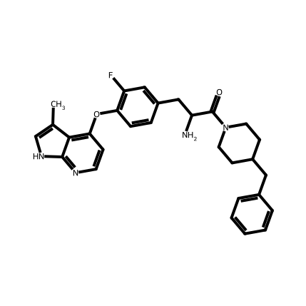 Cc1c[nH]c2nccc(Oc3ccc(CC(N)C(=O)N4CCC(Cc5ccccc5)CC4)cc3F)c12